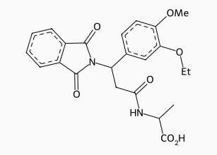 CCOc1cc(C(CC(=O)NC(C)C(=O)O)N2C(=O)c3ccccc3C2=O)ccc1OC